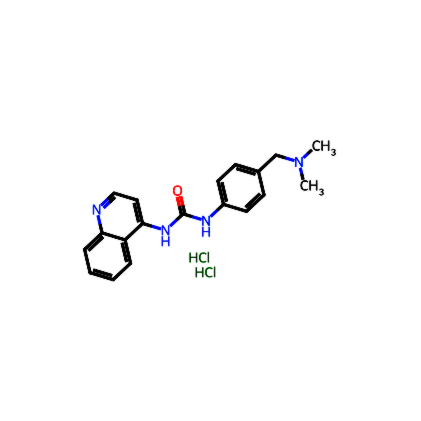 CN(C)Cc1ccc(NC(=O)Nc2ccnc3ccccc23)cc1.Cl.Cl